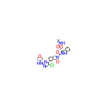 CC(C)(C)NC(=O)OC[C@@H](NC(=O)CN1Cc2ccc(-c3nc(NC4CCOCC4)ncc3Cl)cc2C1=O)c1ccccc1